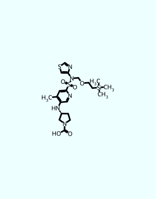 Cc1cc(S(=O)(=O)N(COCC[Si](C)(C)C)c2cscn2)ncc1N[C@H]1CCN(C(=O)O)C1